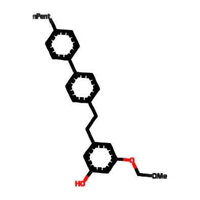 CCCCCc1ccc(-c2ccc(CCc3cc(O)cc(OCOC)c3)cc2)cc1